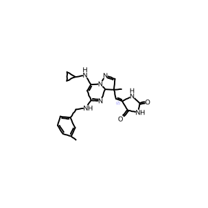 Cc1cccc(CNC2=NC3N(N=CC3(C)/C=C3\NC(=O)NC3=O)C(NC3CC3)=C2)c1